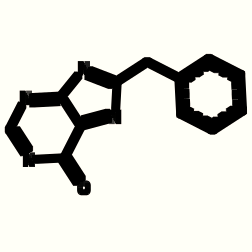 O=C1N=CN=C2N=C(Cc3ccccc3)N=C12